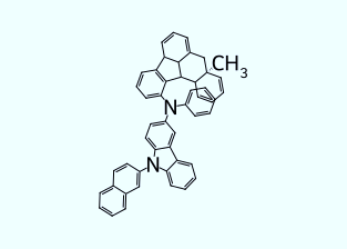 C[C@]12C=CC=CC1C1c3c(cccc3N(c3ccccc3)c3ccc4c(c3)c3ccccc3n4-c3ccc4ccccc4c3)C3C=CC=C(C2)C31